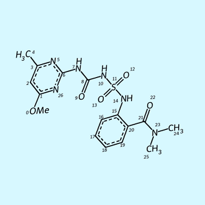 COc1cc(C)nc(NC(=O)NS(=O)(=O)Nc2ccccc2C(=O)N(C)C)n1